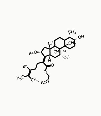 CC(=O)OCOC(=O)C(CCC(Br)=C(C)C)=C1[C@@H](OC(C)=O)C[C@@]2(C)[C@@H]1C[C@@H](O)[C@@H]1[C@@]3(C)CC[C@@H](O)[C@@H](C)C3CC[C@@]12C